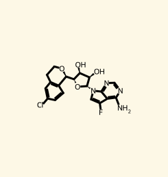 Nc1ncnc2c1c(F)cn2[C@@H]1O[C@H]([C@@H]2OCCc3cc(Cl)ccc32)[C@@H](O)[C@H]1O